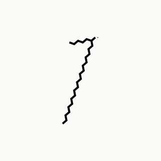 [CH2]C(CCCCC)CCCCCCCCCCCCCCCCCCCC